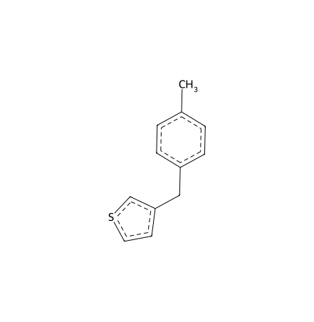 Cc1ccc(Cc2ccsc2)cc1